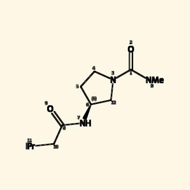 CNC(=O)N1CC[C@H](NC(=O)CC(C)C)C1